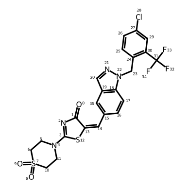 O=C1N=C(N2CCS(=O)(=O)CC2)SC1=Cc1ccc2c(cnn2Cc2ccc(Cl)cc2C(F)(F)F)c1